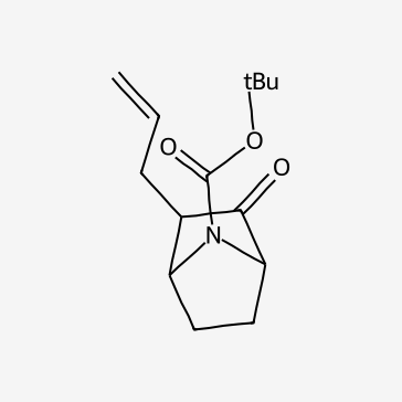 C=CCC1C(=O)C2CCC1N2C(=O)OC(C)(C)C